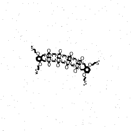 CSCCOc1ccc(OCCSC)c2c1CN1C(=O)N3CN4C(=O)N5CN6C(=O)N7CN8C(=O)N9Cc%10c(OCCSC)ccc(OCCSC)c%10CN%10C(=O)N(CN%11C(=O)N(CN%12C(=O)N(CN%13C(=O)N(C2)[C@]1(C)C3%13)C4C%125)[C@@H]6C%117)C8[C@]%109C